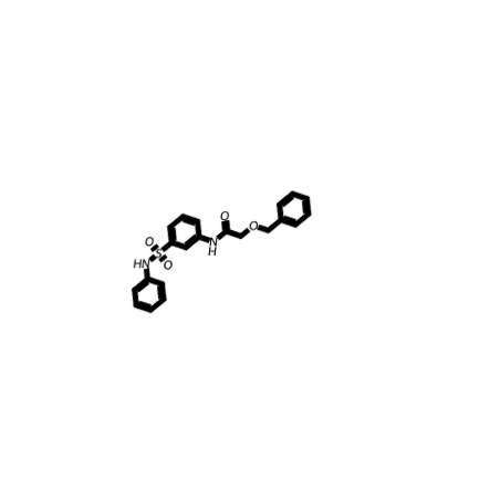 O=C(COCc1ccccc1)Nc1cccc(S(=O)(=O)Nc2ccccc2)c1